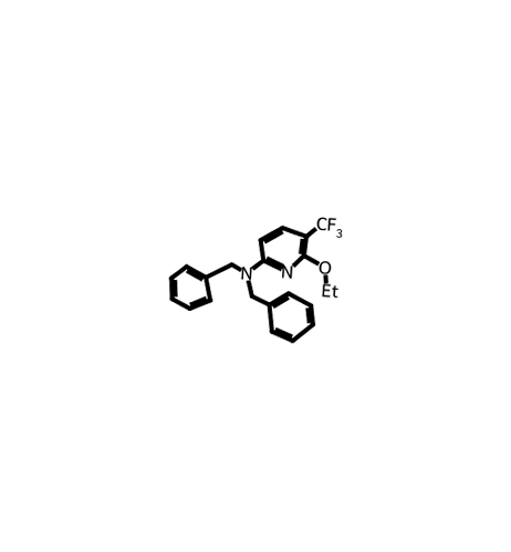 CCOc1nc(N(Cc2ccccc2)Cc2ccccc2)ccc1C(F)(F)F